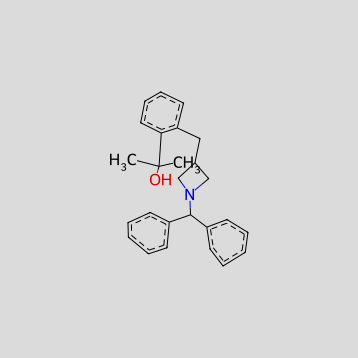 CC(C)(O)c1ccccc1CC1CN(C(c2ccccc2)c2ccccc2)C1